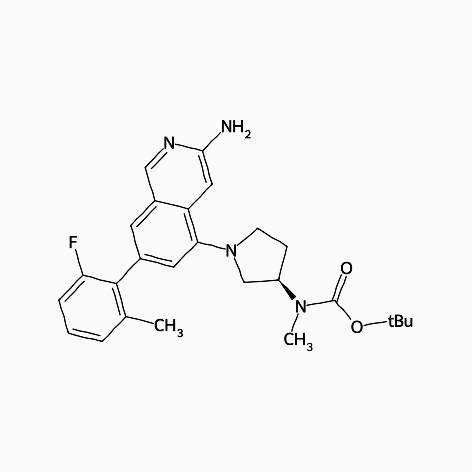 Cc1cccc(F)c1-c1cc(N2CC[C@@H](N(C)C(=O)OC(C)(C)C)C2)c2cc(N)ncc2c1